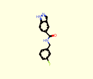 O=C(NCc1cccc(F)c1)c1ccc2[nH]ncc2c1